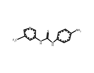 Nc1ccc(NC(=S)Nc2cncc(C(F)(F)F)c2)cc1